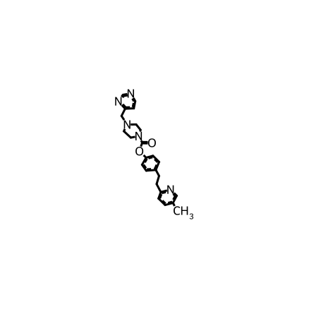 Cc1ccc(CCc2ccc(OC(=O)N3CCN(Cc4ccncn4)CC3)cc2)nc1